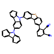 N#Cc1cccc(-c2ccc3sc4ccc(-n5c6ccccc6c6cc(-n7c8ccccc8c8ccccc87)ccc65)cc4c3c2)c1C#N